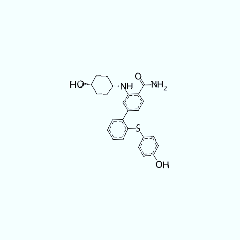 NC(=O)c1ccc(-c2ccccc2Sc2ccc(O)cc2)cc1N[C@H]1CC[C@H](O)CC1